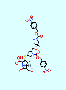 C[C@@H](O)[C@H]1C(=O)N2C(C(=O)O)=C(S[C@H]3C[C@@H](COC(C)(C)CNC(=O)OCc4ccc([N+](=O)[O-])cc4)N(C(=O)OCc4ccc([N+](=O)[O-])cc4)C3)[C@H](C)[C@H]12